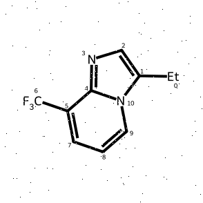 CCc1cnc2c(C(F)(F)F)cccn12